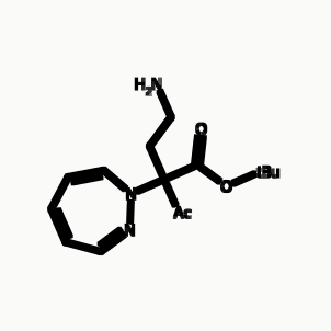 CC(=O)C(CCN)(C(=O)OC(C)(C)C)N1C=CC=CC=N1